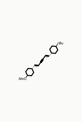 CCCC[C@H]1CC[C@H](/C=C/C#C/C=C/[C@H]2CC[C@H](OC)CC2)CC1